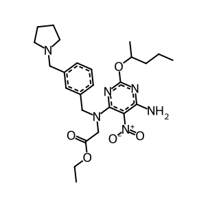 CCCC(C)Oc1nc(N)c([N+](=O)[O-])c(N(CC(=O)OCC)Cc2cccc(CN3CCCC3)c2)n1